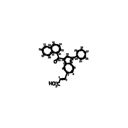 O=C(O)C=Cc1ccc2c(c1)c(C(=O)c1cccc3ccccc13)cn2-c1ccccc1